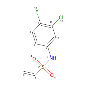 C=CS(=O)(=O)Nc1ccc(F)c(Cl)c1